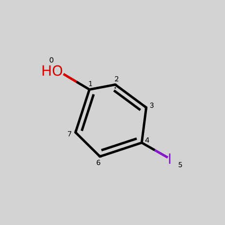 Oc1[c]cc(I)cc1